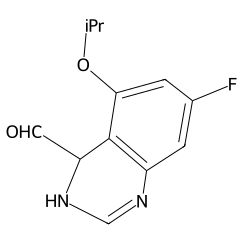 CC(C)Oc1cc(F)cc2c1C(C=O)NC=N2